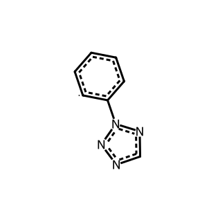 [c]1ccccc1-n1ncnn1